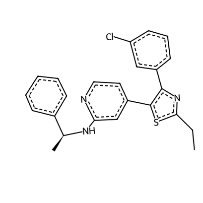 CCc1nc(-c2cccc(Cl)c2)c(-c2ccnc(N[C@@H](C)c3ccccc3)c2)s1